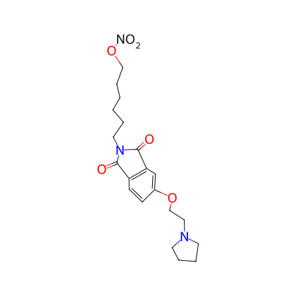 O=C1c2ccc(OCCN3CCCC3)cc2C(=O)N1CCCCCCO[N+](=O)[O-]